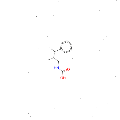 CC(CNC(=O)O)C(C)c1ccccc1